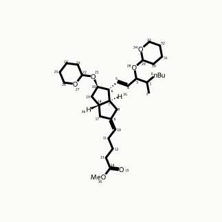 CCCCC(C)C(C=C[C@@H]1[C@H]2CC(=CCCCC(=O)OC)C[C@@H]2C[C@H]1OC1CCCCO1)OC1CCCCO1